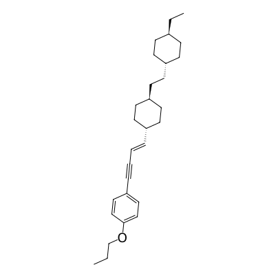 CCCOc1ccc(C#CC=C[C@H]2CC[C@H](CC[C@H]3CC[C@H](CC)CC3)CC2)cc1